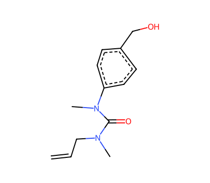 C=CCN(C)C(=O)N(C)c1ccc(CO)cc1